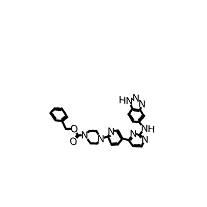 O=C(OCc1ccccc1)N1CCN(c2ccc(-c3ccnc(Nc4ccc5[nH]nnc5c4)n3)cn2)CC1